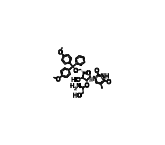 COc1ccc(C(OC[C@@H]2O[C@H](n3cc(C)c(=O)[nH]c3=O)C(OC(N)CO)C2O)(c2ccccc2)c2ccc(OC)cc2)cc1